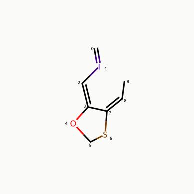 C=I/C=C1/OCS/C1=C/C